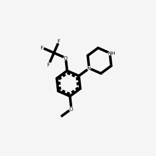 COc1ccc(OC(F)(F)F)c(N2CCNCC2)c1